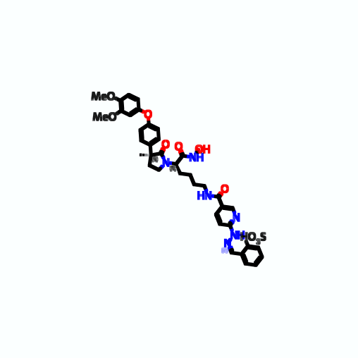 COc1ccc(Oc2ccc([C@]3(C)CCN([C@H](CCCCNC(=O)c4ccc(N/N=C\c5ccccc5S(=O)(=O)O)nc4)C(=O)NO)C3=O)cc2)cc1OC